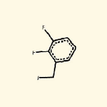 Fc1cccc(CI)c1F